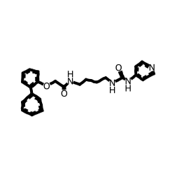 O=C(COc1ccccc1-c1ccccc1)NCCCCNC(=O)Nc1ccncc1